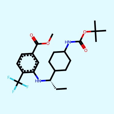 CC[C@H](Nc1cc(C(=O)OC)ccc1C(F)(F)F)C1CCC(NC(=O)OC(C)(C)C)CC1